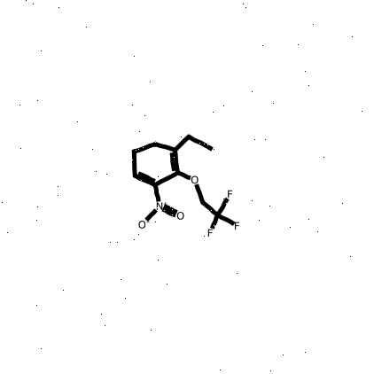 CCC1=C(OCC(F)(F)F)C([N+](=O)[O-])=CC[CH]1